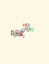 CC(C)(C)OC(=O)N1CCC(CCO)(c2ccc(Cl)c(F)c2)CC1